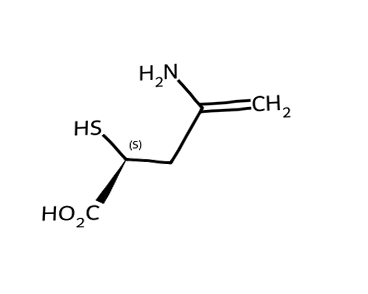 C=C(N)C[C@H](S)C(=O)O